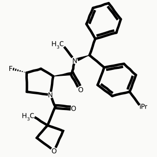 CC(C)c1ccc([C@H](c2ccccc2)N(C)C(=O)[C@@H]2C[C@@H](F)CN2C(=O)C2(C)COC2)cc1